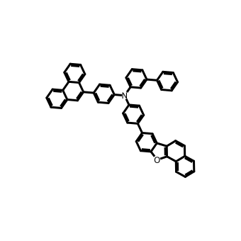 c1ccc(-c2cccc(N(c3ccc(-c4ccc5oc6c7ccccc7ccc6c5c4)cc3)c3ccc(-c4cc5ccccc5c5ccccc45)cc3)c2)cc1